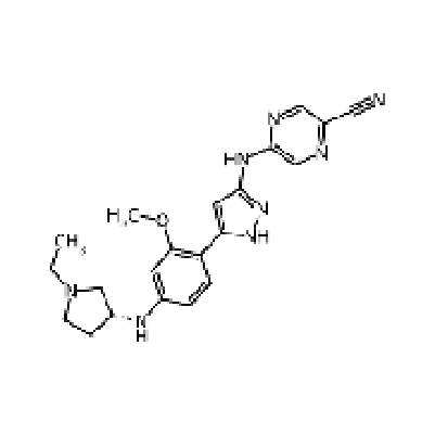 CCN1CC[C@@H](Nc2ccc(-c3cc(Nc4cnc(C#N)cn4)n[nH]3)c(OC)c2)C1